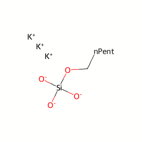 CCCCCCO[Si]([O-])([O-])[O-].[K+].[K+].[K+]